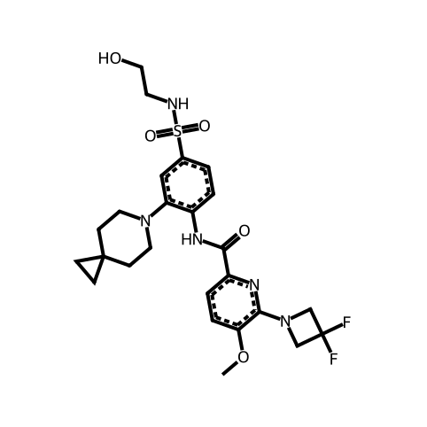 COc1ccc(C(=O)Nc2ccc(S(=O)(=O)NCCO)cc2N2CCC3(CC2)CC3)nc1N1CC(F)(F)C1